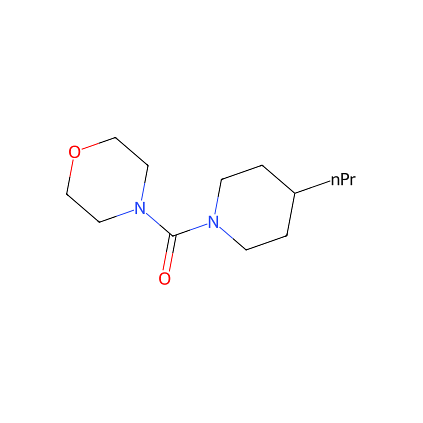 CCCC1CCN(C(=O)N2CCOCC2)CC1